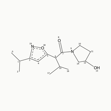 CC(C)c1cc(C(C(=O)N2CCC(O)C2)C(C)C)on1